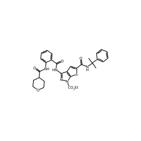 CCOC(=O)n1nc(NC(=O)c2ccccc2NC(=O)C2CCOCC2)c2cc(C(=O)NC(C)(C)c3ccccc3)sc21